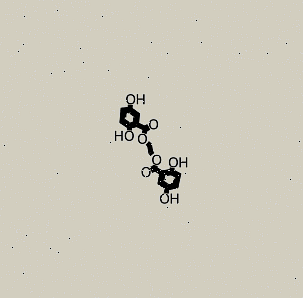 O=C(OCCOC(=O)c1cc(O)ccc1O)c1cc(O)ccc1O